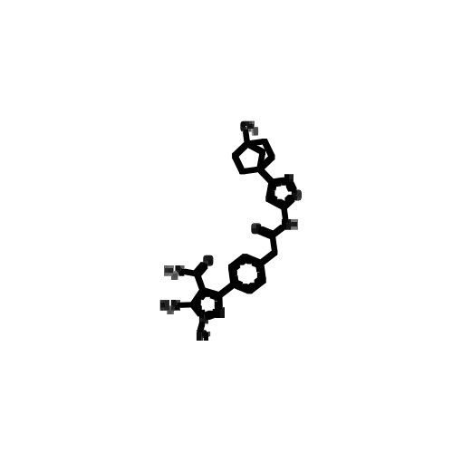 CC(C)n1nc(-c2ccc(CC(=O)Nc3cc(C45CCC(C(F)(F)F)(CC4)C5)no3)cc2)c(C(N)=O)c1N